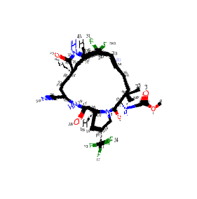 COC(=O)N[C@@H]1C(=O)N2C[C@H](C(F)(F)F)C[C@H]2C(=O)NC(C#N)C[C@@H]2C[C@H](NC2=O)C(F)(F)/C=C/CC1(C)C